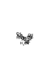 C[C@H]1C[C@@H]1C(=O)Nc1cc2cc(-c3c(OCC4CCN4C(=O)O)cnn3C)ccn2n1